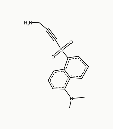 CN(C)c1cccc2c(S(=O)(=O)C#CCN)cccc12